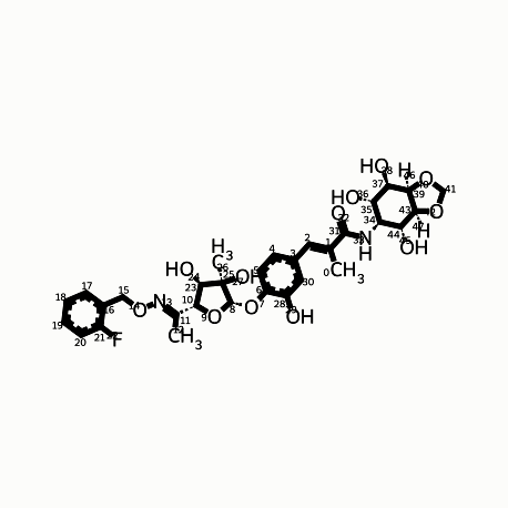 C/C(=C\c1ccc(O[C@@H]2O[C@H](/C(C)=N/OCc3ccccc3F)[C@@H](O)[C@@]2(C)O)c(O)c1)C(=O)N[C@@H]1[C@H](O)[C@@H](O)[C@H]2OCO[C@H]2[C@@H]1O